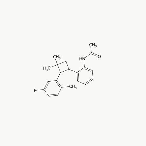 CC(=O)Nc1ccccc1C1CC(C)(C)C1c1cc(F)ccc1C